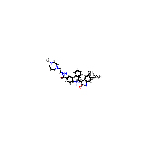 CC(=O)N1CCCN(CCNC(=O)c2ccc(N/C(=C3\C(=O)Nc4cc(C(=O)O)c(C)cc43)c3ccccc3)cc2)CC1